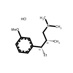 CC[C@H](c1cccc(OC)c1)[C@@H](C)CN(C)C.Cl